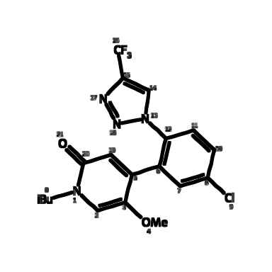 CCC(C)n1cc(OC)c(-c2cc(Cl)ccc2-n2cc(C(F)(F)F)nn2)cc1=O